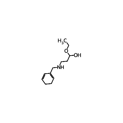 CCOC(O)CCNCC1=CCCC=C1